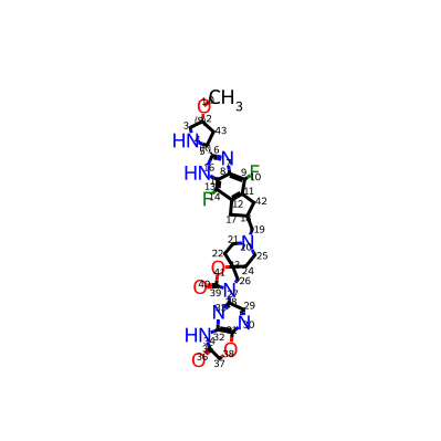 CO[C@@H]1CN[C@@H](c2nc3c(F)c4c(c(F)c3[nH]2)CC(CN2CCC3(CC2)CN(c2cnc5c(n2)NC(=O)CO5)C(=O)O3)C4)C1